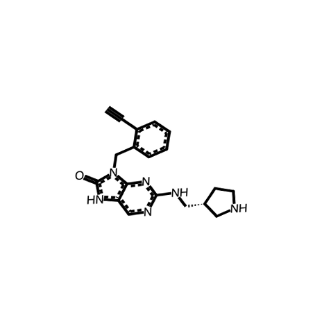 C#Cc1ccccc1Cn1c(=O)[nH]c2cnc(NC[C@@H]3CCNC3)nc21